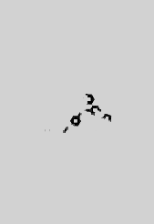 COCCOc1ccc(COC(=O)C2=C(C)N(C[C@@H]3CCCO3)C(=O)C[C@@H]2c2ccc(Cl)nc2)cc1